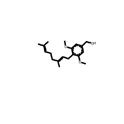 COc1cc(CO)cc(OC)c1C/C=C(\C)CCC=C(C)C